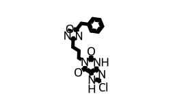 O=c1[nH]c2nc(Cl)[nH]c2c(=O)n1CCCc1noc(Cc2ccccc2)n1